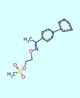 CC(=NOCCOS(C)(=O)=O)c1ccc(-c2ccccc2)cc1